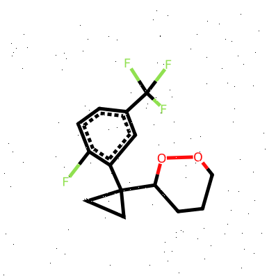 Fc1ccc(C(F)(F)F)cc1C1(C2CCCOO2)CC1